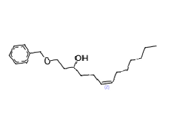 CCCCCC/C=C\CCC(O)CCOCc1ccccc1